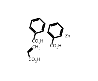 C=CC(=O)O.O=C(O)c1ccccc1.O=C(O)c1ccccc1.[Zn]